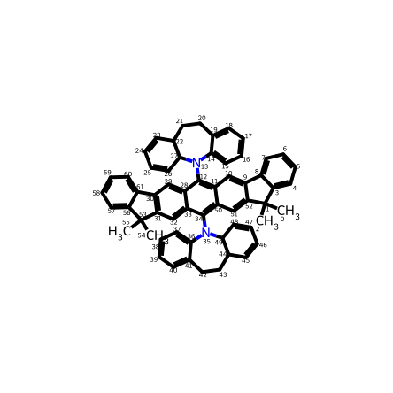 CC1(C)c2ccccc2-c2cc3c(N4c5ccccc5CCC5C=CC=CC54)c4cc5c(cc4c(N4c6ccccc6CCC6C=CC=CC64)c3cc21)C(C)(C)c1ccccc1-5